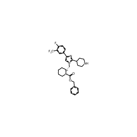 O=C(OCc1ccccc1)N1CCCC[C@@H]1Cn1cc(-c2ccc(F)c(C(F)(F)F)c2)nc1C1CCNCC1